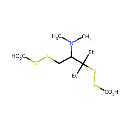 CCC(CC)(SSC(=O)O)C(CSSC(=O)O)N(C)C